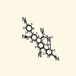 N#CC(=C1c2cc(-c3ccc(C#N)cc3)c(C#N)cc2-c2cc(C#N)c(-c3ccc(C#N)cc3)cc21)C1CN1